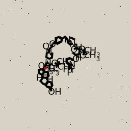 CC(C)(C)OC(=O)N(CC[C@]1(O)CC[C@H]2[C@@H]3CCc4cc(O)ccc4[C@H]3CC[C@@]21C)C1CCN(C(=O)COc2ccc(CN3CCN(C[C@H]4OC[C@H](Oc5cccc(C(F)(F)F)n5)[C@H]5OC(C)(C)O[C@H]54)CC3)cc2)CC1